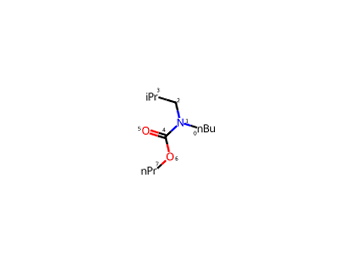 CCCCN(CC(C)C)C(=O)OCCC